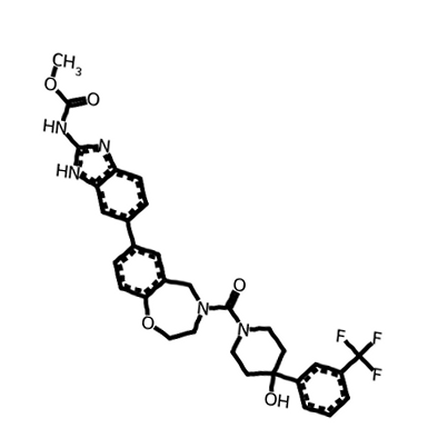 COC(=O)Nc1nc2ccc(-c3ccc4c(c3)CN(C(=O)N3CCC(O)(c5cccc(C(F)(F)F)c5)CC3)CCO4)cc2[nH]1